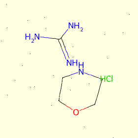 C1COCCN1.Cl.N=C(N)N